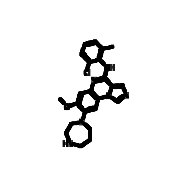 COc1cc2nc(Nc3c(C)cccc3Cl)c3cncn3c2cc1N1CCCNCC1